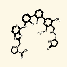 COc1nc(-c2cccc(-c3cccc(Nc4nccc5sc(CN6CCC[C@@H]6C(=O)O)nc45)c3Cl)c2Cl)cc(C)c1CNC[C@@H]1CCC(=O)N1